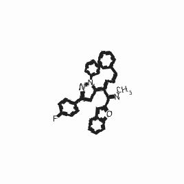 C\N=C(/C(=C\C=C/c1ccccc1)C1CC(c2ccc(F)cc2)=NN1c1ccccc1)c1cc2ccccc2o1